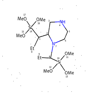 CCC(C1CNCCN1C(CC)[Si](OC)(OC)OC)[Si](OC)(OC)OC